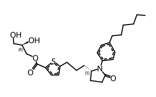 CCCCCCc1ccc(N2C(=O)CC[C@@H]2CCCc2ccc(C(=O)OC[C@H](O)CO)s2)cc1